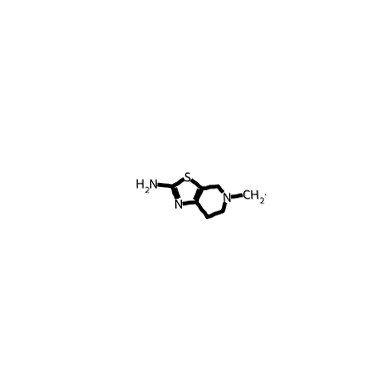 [CH2]N1CCc2nc(N)sc2C1